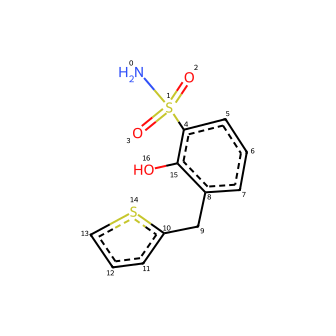 NS(=O)(=O)c1cccc(Cc2cccs2)c1O